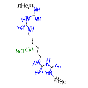 CCCCCCCNC(=N)NC(=N)NCCCCCCNC(=N)NC(=N)NCCCCCCC.Cl.Cl